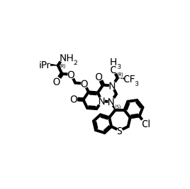 CC(C)[C@@H](N)C(=O)OCOc1c2n(ccc1=O)N([C@@H]1c3ccccc3SCc3c(Cl)cccc31)CN([C@H](C)C(F)(F)F)C2=O